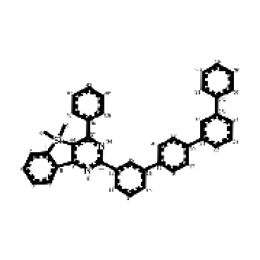 C[Si]1(C)c2ccccc2-c2nc(-c3cccc(-c4ccc(-c5cccc(-c6ccccc6)c5)cc4)c3)nc(-c3ccccc3)c21